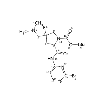 CN(C)CC1(F)CC(C(=O)Nc2cccc(Br)n2)N(C(=O)OC(C)(C)C)C1